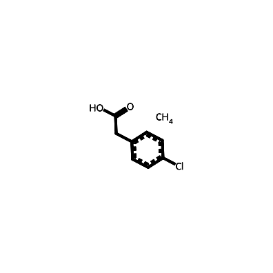 C.O=C(O)Cc1ccc(Cl)cc1